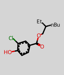 CCCCC(CC)COC(=O)c1ccc(O)c(Cl)c1